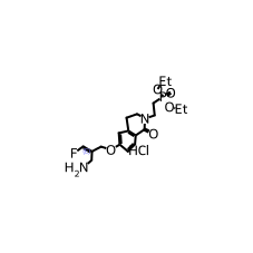 CCOP(=O)(CCN1CCc2cc(OC/C(=C/F)CN)ccc2C1=O)OCC.Cl